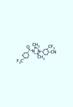 C[C@@H]1CN(c2ccc(C#N)c(C(F)(F)F)c2)[C@@H](C)CN1C(=O)c1ccc(C(F)(F)F)cc1